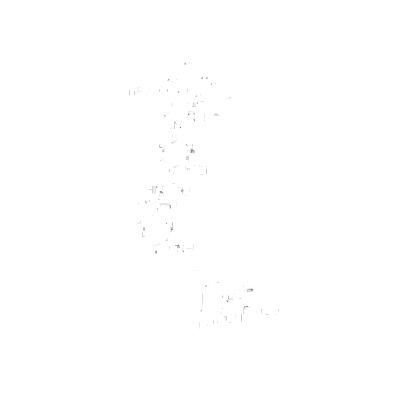 CCCOC1=CN(c2ccc(C(=O)NS(=O)(=O)c3cccc(NCCC[C@@H]4CN(C(=O)OC(C)(C)C)C(C)(C)C4)n3)c(Cl)n2)NC1(C1CCC1)C1CCC1